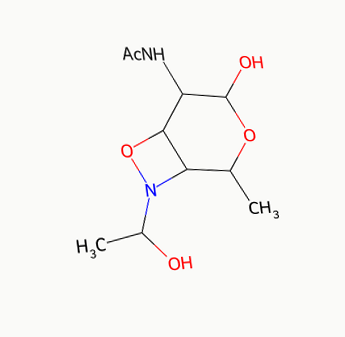 CC(=O)NC1C(O)OC(C)C2C1ON2C(C)O